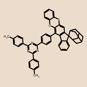 Cc1ccc(-c2nc(-c3ccc(C)cc3)nc(-c3ccc(-c4c5c(cc6c4-c4ccccc4C64C6CC7CC(C6)CC4C7)Sc4ccccc4O5)cc3)n2)cc1